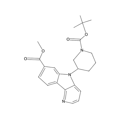 COC(=O)c1ccc2c3ncccc3n(C3CCCN(C(=O)OC(C)(C)C)C3)c2c1